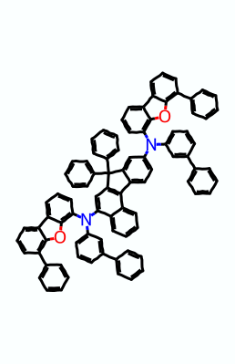 c1ccc(-c2cccc(N(c3ccc4c(c3)C(c3ccccc3)(c3ccccc3)c3cc(N(c5cccc(-c6ccccc6)c5)c5cccc6c5oc5c(-c7ccccc7)cccc56)c5ccccc5c3-4)c3cccc4c3oc3c(-c5ccccc5)cccc34)c2)cc1